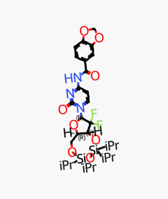 CC(C)[Si]1(C(C)C)OC[C@H]2O[C@@H](n3ccc(NC(=O)c4ccc5c(c4)OCO5)nc3=O)C(F)(F)[C@@H]2O[Si](C(C)C)(C(C)C)O1